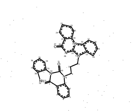 C=C1c2ccccc2N(CCCn2c3ccccc3n3c4ccccc4c(=O)nc23)C(=O)N1c1ccccc1N